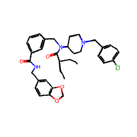 CCC(CC)C(=O)N(Cc1cccc(C(=O)NCc2ccc3c(c2)OCO3)c1)C1CCN(Cc2ccc(Cl)cc2)CC1